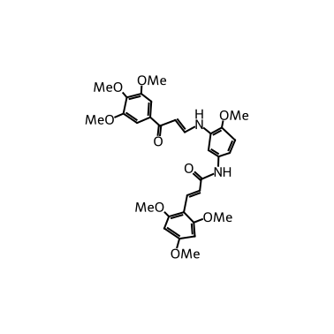 COc1cc(OC)c(/C=C/C(=O)Nc2ccc(OC)c(N/C=C/C(=O)c3cc(OC)c(OC)c(OC)c3)c2)c(OC)c1